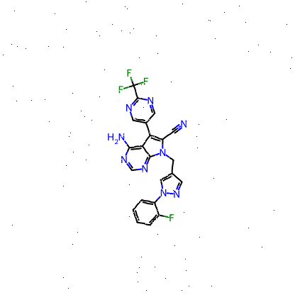 N#Cc1c(-c2cnc(C(F)(F)F)nc2)c2c(N)ncnc2n1Cc1cnn(-c2ccccc2F)c1